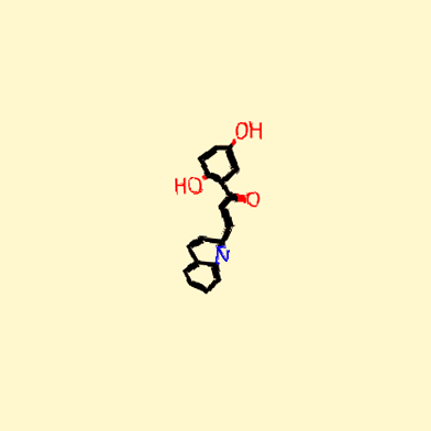 O=C(/C=C/c1ccc2ccccc2n1)c1cc(O)ccc1O